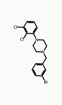 Clc1cccc(N2CCN(Cc3cccc(Br)c3)CC2)c1Cl